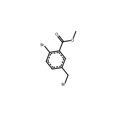 COC(=O)c1cc(CBr)ccc1Br